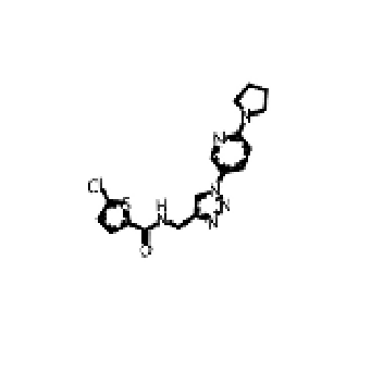 O=C(NCc1cn(-c2ccc(N3CCCC3)nc2)nn1)c1ccc(Cl)s1